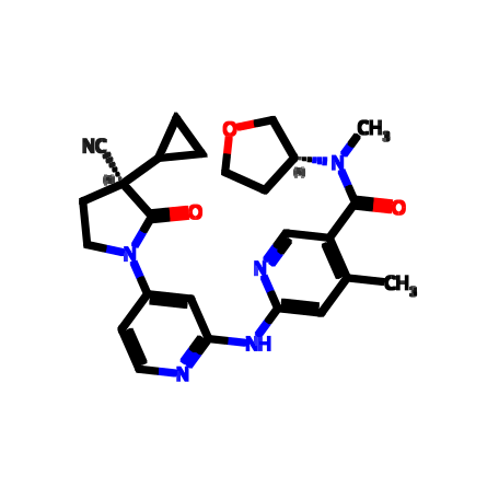 Cc1cc(Nc2cc(N3CC[C@@](C#N)(C4CC4)C3=O)ccn2)ncc1C(=O)N(C)[C@@H]1CCOC1